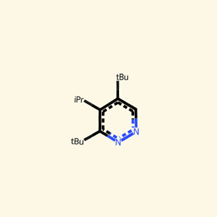 CC(C)c1c(C(C)(C)C)cnnc1C(C)(C)C